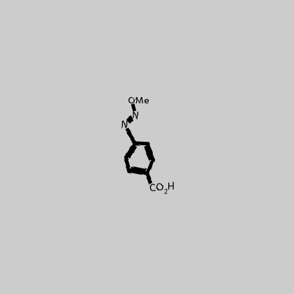 CON=Nc1ccc(C(=O)O)cc1